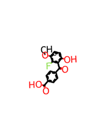 COc1ccc(O)c(C(=O)c2ccc(C(=O)O)cc2)c1F